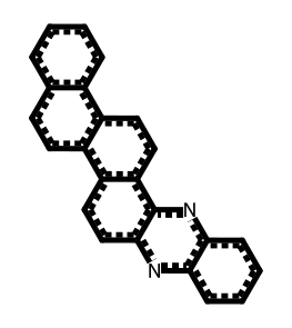 c1ccc2c(c1)ccc1c2ccc2c1ccc1nc3ccccc3nc12